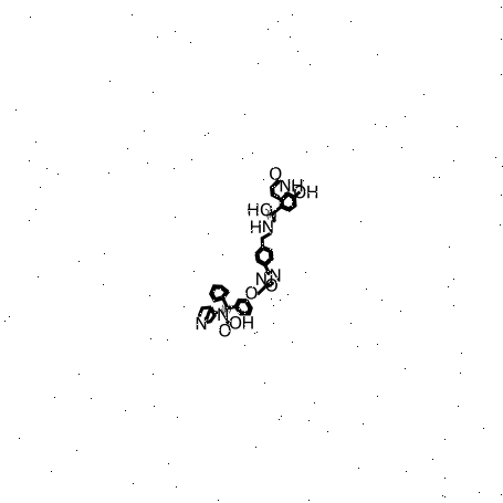 O=C(O)N(C1CN2CCC1CC2)[C@H](c1ccccc1)c1cccc(OCc2nc(-c3ccc(CCNC[C@H](O)c4ccc(O)c5[nH]c(=O)ccc45)cc3)no2)c1